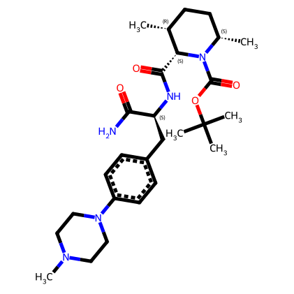 C[C@@H]1CC[C@H](C)N(C(=O)OC(C)(C)C)[C@@H]1C(=O)N[C@@H](Cc1ccc(N2CCN(C)CC2)cc1)C(N)=O